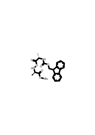 C[C@H](NC(=O)OCC1c2ccccc2-c2ccccc21)C(=O)ON[C@H](C)C(=O)OC(C)(C)C